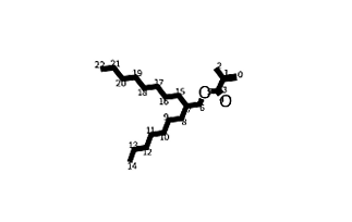 C=C(C)C(=O)OCC(CCCCCCC)CCCCCCCC